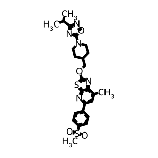 Cc1cc(-c2ccc(S(C)(=O)=O)cc2)nc2sc(OCC3CCN(c4nc(C(C)C)no4)CC3)nc12